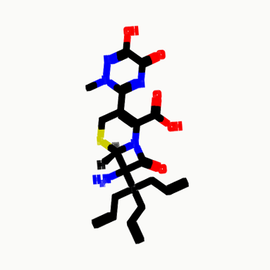 C=CC[Si](CC=C)(CC=C)C1(N)C(=O)N2C(C(=O)O)=C(c3nc(=O)c(O)nn3C)CS[C@H]21